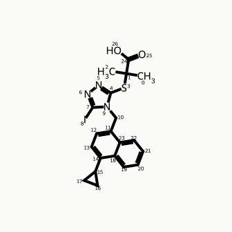 CC(C)(Sc1nnc(I)n1Cc1ccc(C2CC2)c2ccccc12)C(=O)O